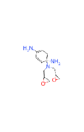 NC1=CCC(N)(N(CC2CO2)CC2CO2)C=C1